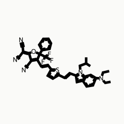 CCN(CC)c1ccc2cc(/C=C/c3ccc(/C=C/C4=C(C#N)C(=C(C#N)C#N)OC4(c4ccccc4)C(F)(F)F)s3)n(CC(C)C)c2c1